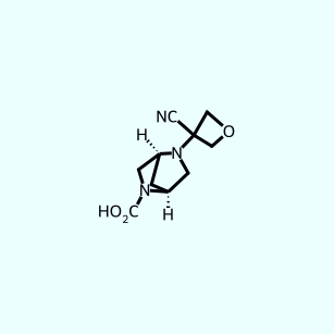 N#CC1(N2C[C@@H]3C[C@H]2CN3C(=O)O)COC1